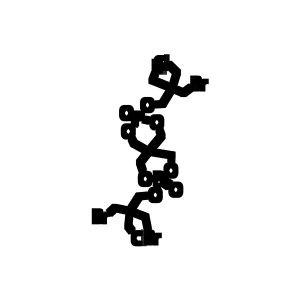 O=P1(OCC(CCl)(CBr)CBr)OCC2(CO1)COP(=O)(OCC(CCl)(CBr)CBr)OC2